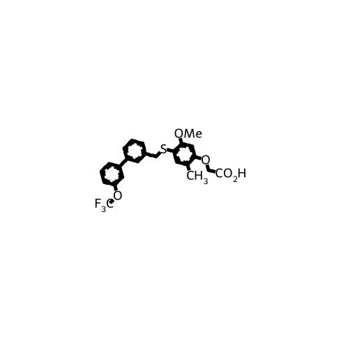 COc1cc(OCC(=O)O)c(C)cc1SCc1cccc(-c2cccc(OC(F)(F)F)c2)c1